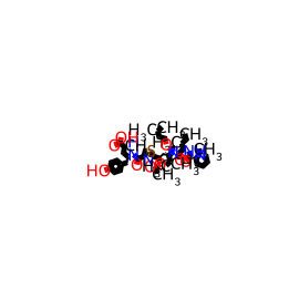 CCC(C)[C@H](NC(=O)[C@H]1CCCCN1C)C(=O)N(COCCC(C)C)[C@H](C[C@@H](OC(C)=O)c1nc(C(=O)N[C@@H](Cc2ccc(O)cc2)C[C@H](C)C(=O)O)cs1)C(C)C